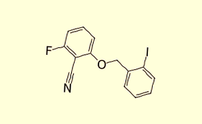 N#Cc1c(F)cccc1OCc1ccccc1I